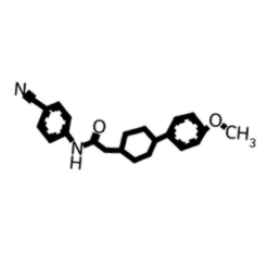 COc1ccc(C2CCC(CC(=O)Nc3ccc(C#N)cc3)CC2)cc1